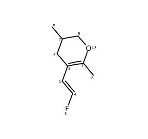 CC1=C(/C=C/F)CC(C)CO1